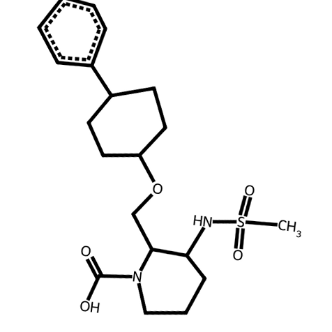 CS(=O)(=O)NC1CCCN(C(=O)O)C1COC1CCC(c2ccccc2)CC1